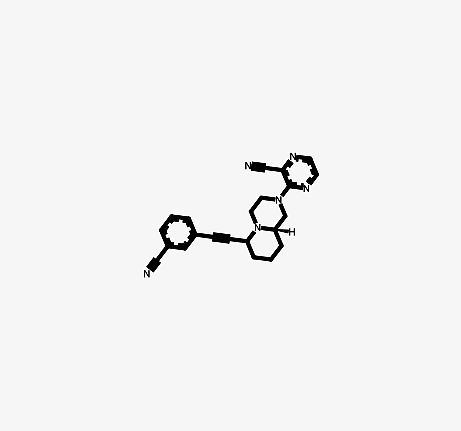 N#Cc1cccc(C#CC2CCC[C@H]3CN(c4nccnc4C#N)CCN23)c1